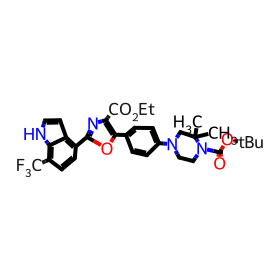 CCOC(=O)c1nc(-c2ccc(C(F)(F)F)c3[nH]ccc23)oc1-c1ccc(N2CCN(C(=O)OC(C)(C)C)C(C)(C)C2)cc1